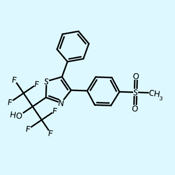 CS(=O)(=O)c1ccc(-c2nc(C(O)(C(F)(F)F)C(F)(F)F)sc2-c2ccccc2)cc1